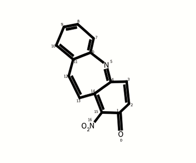 O=c1ccc2nc3ccccc3ccc-2c1[N+](=O)[O-]